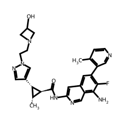 Cc1ccncc1-c1cc2cc(NC(=O)[C@H]3[C@H](C)[C@@H]3c3cnn(CCN4CC(O)C4)c3)ncc2c(N)c1F